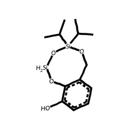 CC(C)[Si]1(C(C)C)OCc2cccc(O)c2O[SiH2]O1